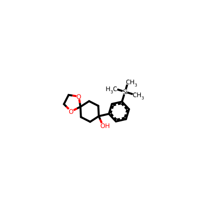 C[Si](C)(C)c1cccc(C2(O)CCC3(CC2)OCCO3)c1